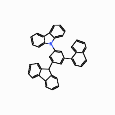 c1ccc2c(c1)-c1ccccc1C2c1cc(-c2cccc3ccccc23)cc(-n2c3ccccc3c3ccccc32)c1